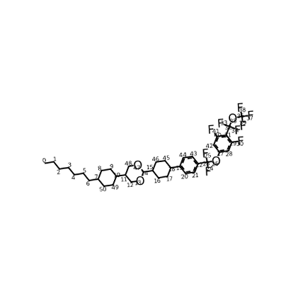 CCCCCCCC1CCC(C2COC(C3CCC(c4ccc(C(F)(F)Oc5cc(F)c(C(F)(F)OC(F)(F)F)c(F)c5)cc4)CC3)OC2)CC1